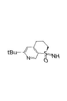 CC(C)(C)c1cc2c(cn1)[S@](=N)(=O)CCC2